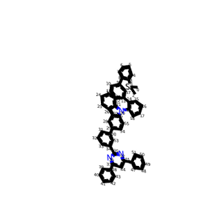 C[Si]1(C)c2ccccc2-c2cccc(-c3ccccc3-n3c4ccccc4c4cc(-c5cccc(-c6nc(-c7ccccc7)cc(-c7ccccc7)n6)c5)ccc43)c21